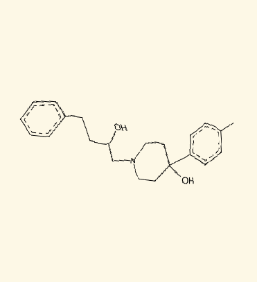 Cc1ccc(C2(O)CCN(CC(O)CCc3ccccc3)CC2)cc1